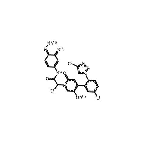 CCC(C(=O)NC1=CC(=N)/C(=N\NC)C=C1)n1cc(OC)c(-c2cc(Cl)ccc2-n2cc(Cl)nn2)cc1=O